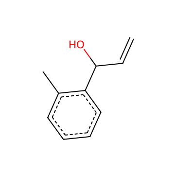 C=CC(O)c1ccccc1C